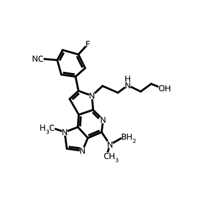 BN(C)c1nc2c(cc(-c3cc(F)cc(C#N)c3)n2CCNCCO)c2c1ncn2C